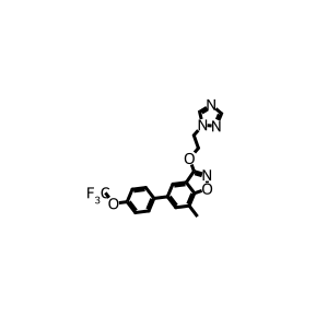 Cc1cc(-c2ccc(OC(F)(F)F)cc2)cc2c(OCCn3cncn3)noc12